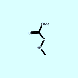 CBOC(=O)OC